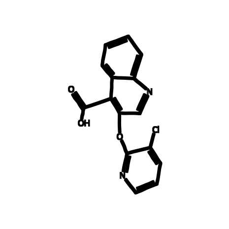 O=C(O)c1c(Oc2ncccc2Cl)cnc2ccccc12